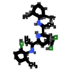 CC(=Nc1c(C)cccc1Cl)c1cccc(C(C)=Nc2c(C(C)C)cccc2C(C)C)n1.[Cl][Fe][Cl]